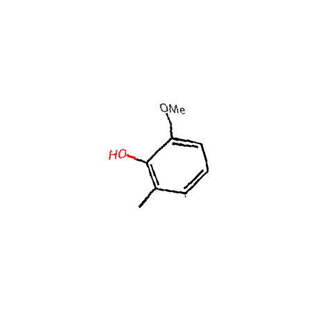 COc1cc[c]c(C)c1O